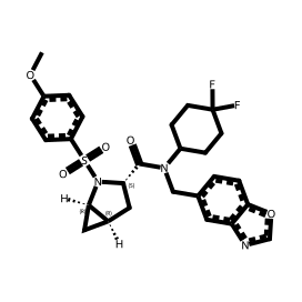 COc1ccc(S(=O)(=O)N2[C@@H]3C[C@@H]3C[C@H]2C(=O)N(Cc2ccc3ocnc3c2)C2CCC(F)(F)CC2)cc1